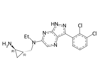 CCN(C[C@@H]1C[C@H]1N)c1cnc2c(-c3cccc(Cl)c3Cl)n[nH]c2n1